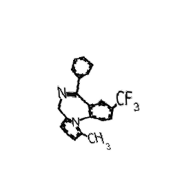 Cc1ccc2n1-c1ccc(C(F)(F)F)cc1C(c1ccccc1)=NC2